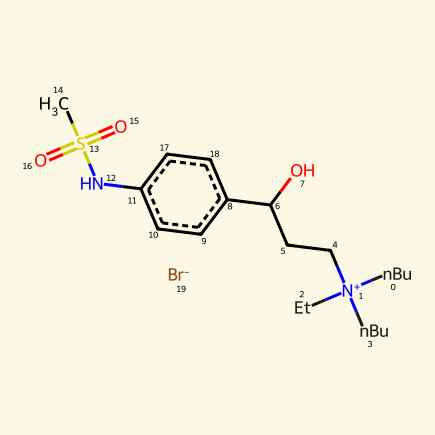 CCCC[N+](CC)(CCCC)CCC(O)c1ccc(NS(C)(=O)=O)cc1.[Br-]